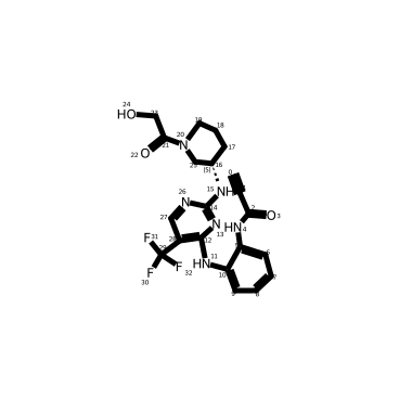 C#CC(=O)Nc1ccccc1Nc1nc(N[C@H]2CCCN(C(=O)CO)C2)ncc1C(F)(F)F